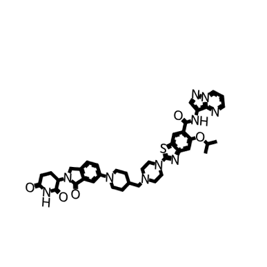 CC(C)Oc1cc2nc(N3CCN(CC4CCN(c5ccc6c(c5)C(=O)N(C5CCC(=O)NC5=O)C6)CC4)CC3)sc2cc1C(=O)Nc1cnn2cccnc12